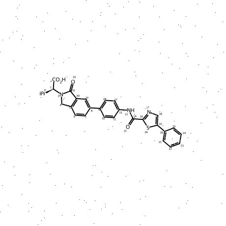 CC(C)[C@@H](C(=O)O)N1Cc2ccc(-c3ccc(NC(=O)c4ncc(-c5ccccc5)s4)cc3)cc2C1=O